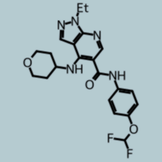 CCn1ncc2c(NC3CCOCC3)c(C(=O)Nc3ccc(OC(F)F)cc3)cnc21